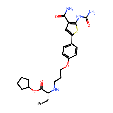 CC(C)C[C@@H](NCCCOc1ccc(-c2cc(C(N)=O)c(NC(N)=O)s2)cc1)C(=O)OC1CCCC1